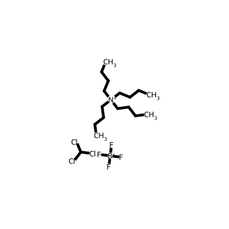 CCCC[N+](CCCC)(CCCC)CCCC.ClC(Cl)Cl.F[B-](F)(F)F